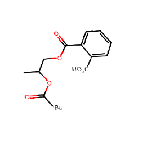 CCC(C)C(=O)OC(C)COC(=O)c1ccccc1C(=O)O